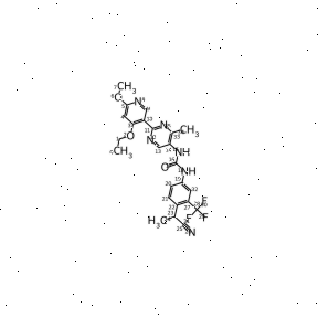 CCOc1cc(OC)ncc1-c1ncc(NC(=O)Nc2ccc(C(C)C#N)c(C(F)(F)F)c2)c(C)n1